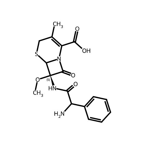 CO[C@@]1(NC(=O)C(N)c2ccccc2)C(=O)N2C(C(=O)O)=C(C)CSC21